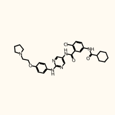 O=C(Nc1cnc(Nc2ccc(OCCN3CCCC3)cc2)nc1)c1cc(NC(=O)C2CCCCC2)ccc1Cl